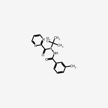 Cc1cccc(C(=O)NN(C(=O)c2ncccn2)C(C)(C)C)c1